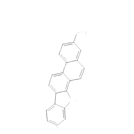 CCCCCCCCc1ccc2c(ccc3c2ccc2c4ccccc4sc23)c1